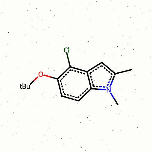 Cc1cc2c(Cl)c(OC(C)(C)C)ccc2n1C